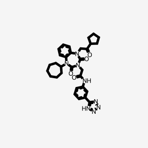 O=C(CN1C(=O)N(CC(=O)C2CCCC2)c2ccccc2N(C2CCCCCC2)C1=O)Nc1cccc(-c2nnn[nH]2)c1